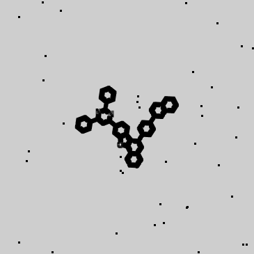 c1ccc(-c2cc(-c3ccc4c(c3)oc3c5ccccc5cc(-c5ccc(-c6ccc7ccccc7c6)cc5)c43)nc(-c3ccccc3)n2)cc1